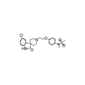 CN(c1ccc(OCCN2CCC3(CC2)C(=O)Nc2ccc(Cl)cc23)cc1)S(C)(=O)=O